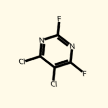 Fc1nc(F)c(Cl)c(Cl)n1